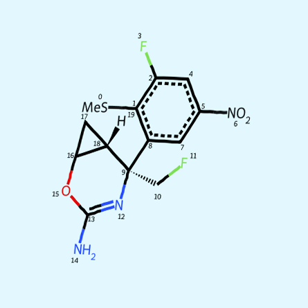 CSc1c(F)cc([N+](=O)[O-])cc1[C@@]1(CF)N=C(N)OC2C[C@@H]21